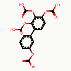 O=C(O)Oc1cccc(-c2ccc(OC(=O)O)c(OC(=O)O)c2OC(=O)O)c1